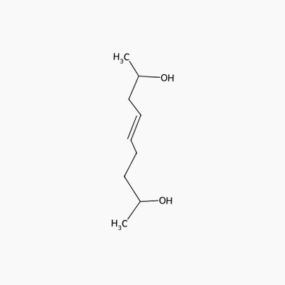 CC(O)CC=CCCC(C)O